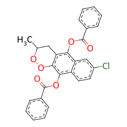 CC1Cc2c(c(OC(=O)c3ccccc3)c3ccc(Cl)cc3c2OC(=O)c2ccccc2)OO1